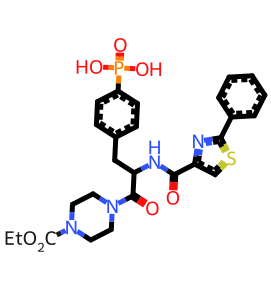 CCOC(=O)N1CCN(C(=O)C(Cc2ccc(P(=O)(O)O)cc2)NC(=O)c2csc(-c3ccccc3)n2)CC1